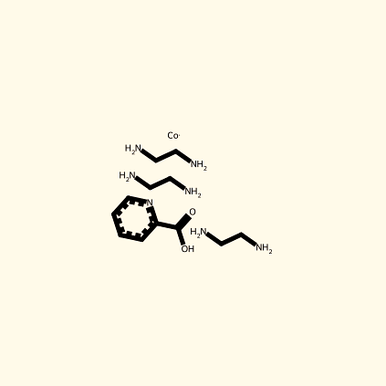 NCCN.NCCN.NCCN.O=C(O)c1ccccn1.[Co]